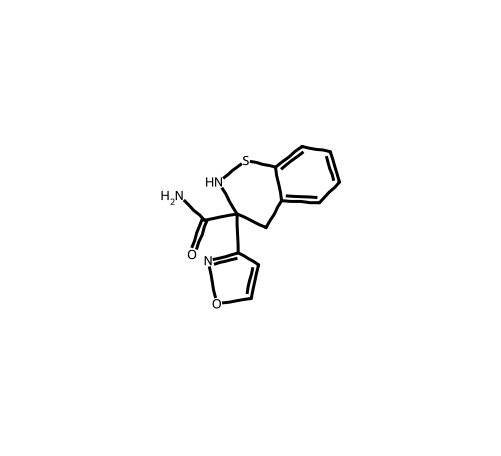 NC(=O)C1(c2ccon2)Cc2ccccc2SN1